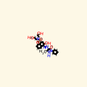 Cc1[nH]n(-c2ccccc2)c(=O)c1N=Nc1c(O)cc(S(=O)(=O)N(CCO)CCO)c2ccccc12